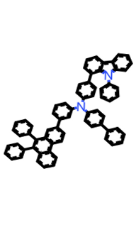 c1ccc(-c2ccc(N(c3ccc(-c4cccc5c6ccccc6n(-c6ccccc6)c45)cc3)c3cccc(-c4ccc5c(c4)c(-c4ccccc4)c(-c4ccccc4)c4ccccc45)c3)cc2)cc1